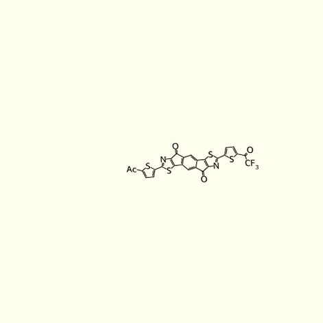 CC(=O)c1ccc(-c2nc3c(=O)c4cc5c(cc4c3s2)c(=O)c2nc(-c3ccc(C(=O)C(F)(F)F)s3)sc25)s1